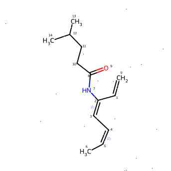 C=C/C(=C\C=C/C)NC(=O)CCC(C)C